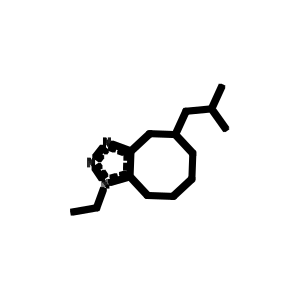 CCn1nnc2c1CCCCC(CC(C)C)C2